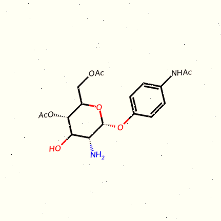 CC(=O)Nc1ccc(O[C@H]2OC(COC(C)=O)[C@@H](OC(C)=O)C(O)[C@H]2N)cc1